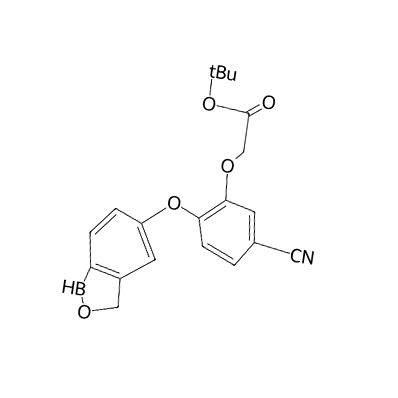 CC(C)(C)OC(=O)COc1cc(C#N)ccc1Oc1ccc2c(c1)COB2